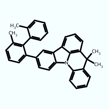 Cc1ccccc1-c1c(C)cccc1-c1ccc2c(c1)c1cccc3c1n2-c1ccccc1C3(C)C